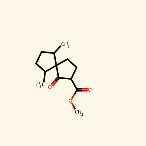 COC(=O)C1CCC2(C1=O)C(C)CCC2C